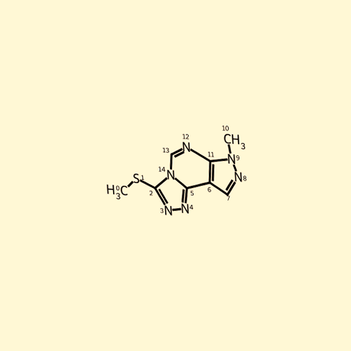 CSc1nnc2c3cnn(C)c3ncn12